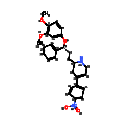 COc1ccc(O[C@H](CCC2CC(c3ccc([N+](=O)[O-])cc3)=CCN2)c2ccccc2)cc1OC